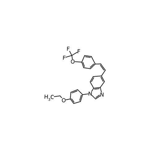 CCOc1ccc(-n2cnc3cc(/C=C\c4ccc(OC(F)(F)F)cc4)ccc32)cc1